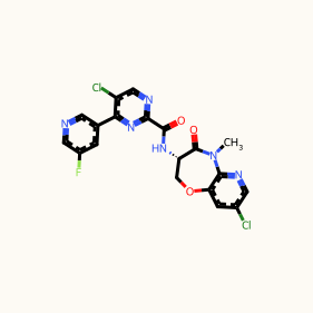 CN1C(=O)[C@@H](NC(=O)c2ncc(Cl)c(-c3cncc(F)c3)n2)COc2cc(Cl)cnc21